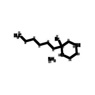 CCCCCCC1(Br)CNCCO1.N